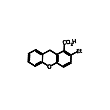 CCc1ccc2c(c1C(=O)O)Cc1ccccc1O2